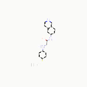 CSc1ccc(NCC(=O)Nc2ccc3cnccc3c2)cc1